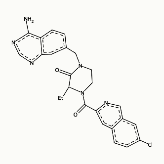 CCC1C(=O)N(Cc2ccc3c(N)ncnc3c2)CCN1C(=O)c1cc2ccc(Cl)cc2cn1